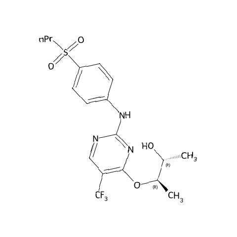 CCCS(=O)(=O)c1ccc(Nc2ncc(C(F)(F)F)c(O[C@H](C)[C@@H](C)O)n2)cc1